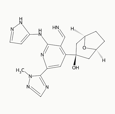 Cn1ncnc1-c1cc([C@]2(O)C[C@H]3CC[C@@H](C2)O3)c(C=N)c(Nc2ccn[nH]2)n1